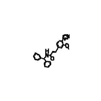 COc1cc(/C=C/C(=O)NC(c2ccccc2)c2ccccc2)ccc1-n1ccnc1